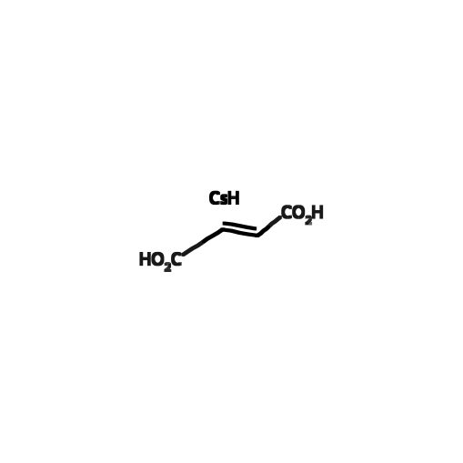 O=C(O)C=CC(=O)O.[CsH]